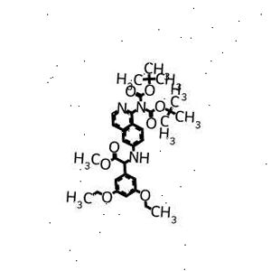 CCOc1cc(OCC)cc(C(Nc2ccc3c(N(C(=O)OC(C)(C)C)C(=O)OC(C)(C)C)nccc3c2)C(=O)OC)c1